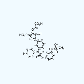 CS(=O)(=O)Nc1cccc(CS(=O)(=O)N(c2cccc(-c3sc(C(=O)O)c(OCC(=O)O)c3Cl)c2)C2CCNCC2)c1